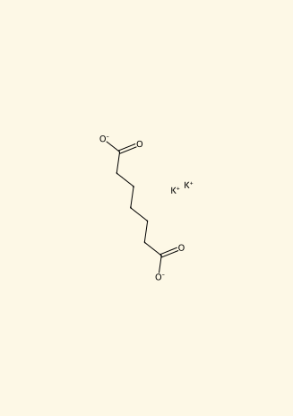 O=C([O-])CCCCCC(=O)[O-].[K+].[K+]